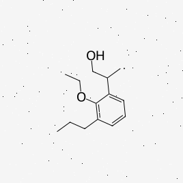 [CH2]C(CO)c1cccc(CCC)c1OCC